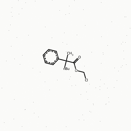 CCCCC(C)(C(=O)OCCl)c1ccccc1